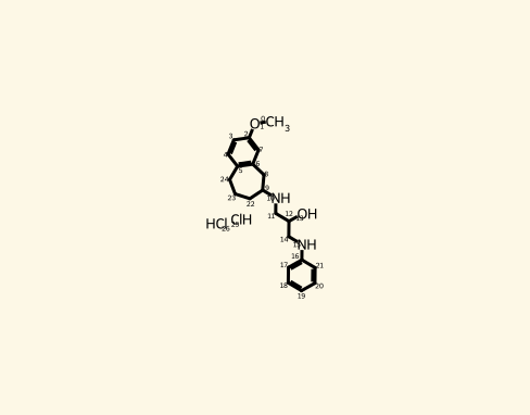 COc1ccc2c(c1)CC(NCC(O)CNc1ccccc1)CCC2.Cl.Cl